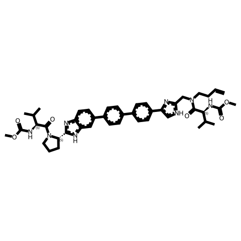 C=CCCN(Cc1nc(-c2ccc(-c3ccc(-c4ccc5nc([C@@H]6CCCN6C(=O)[C@@H](NC(=O)OC)C(C)C)[nH]c5c4)cc3)cc2)c[nH]1)C(=O)[C@@H](NC(=O)OC)C(C)C